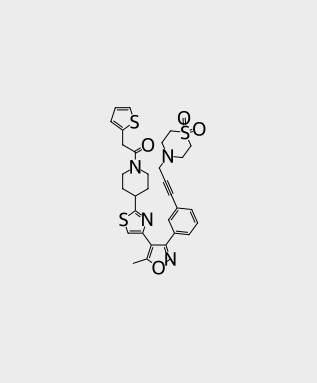 Cc1onc(-c2cccc(C#CCN3CCS(=O)(=O)CC3)c2)c1-c1csc(C2CCN(C(=O)Cc3cccs3)CC2)n1